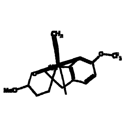 C=C1NC(=O)C2(N1)c1cc(OC(F)(F)F)ccc1CC21CCC(OC)CC1